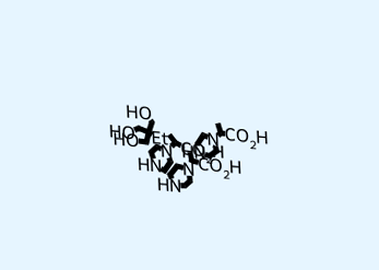 CC(C(=O)O)N1CCNCC1.CC(C(=O)O)N1CCNCC1.CC(C(=O)O)N1CCNCC1.CCC(CO)(CO)CO